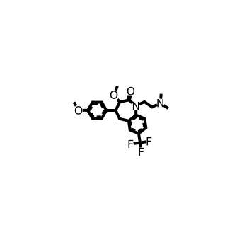 COc1ccc(C2Cc3cc(C(F)(F)F)ccc3N(CCN(C)C)C(=O)C2OC)cc1